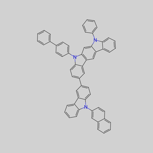 c1ccc(-c2ccc(-n3c4ccc(-c5ccc6c(c5)c5ccccc5n6-c5ccc6ccccc6c5)cc4c4cc5c6ccccc6n(-c6ccccc6)c5cc43)cc2)cc1